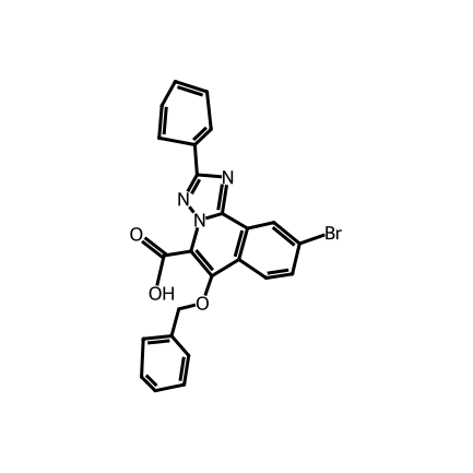 O=C(O)c1c(OCc2ccccc2)c2ccc(Br)cc2c2nc(-c3ccccc3)nn12